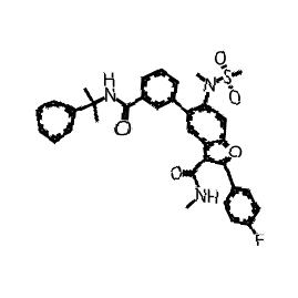 CNC(=O)c1c(-c2ccc(F)cc2)oc2cc(N(C)S(C)(=O)=O)c(-c3cccc(C(=O)NC(C)(C)c4ccccc4)c3)cc12